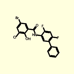 O=C(Nc1cc(-c2ccccc2)c(F)cc1F)c1cc(Br)cc(Cl)c1O